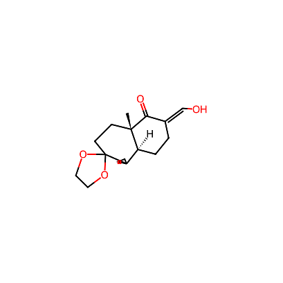 C[C@]12CCC3(OCCO3)C3(CCCC3)[C@@H]1CC/C(=C\O)C2=O